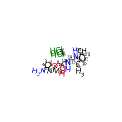 CNc1c(N)cccc1OCC(O)CNCCNc1c(C)cccc1C.Cl.Cl.Cl